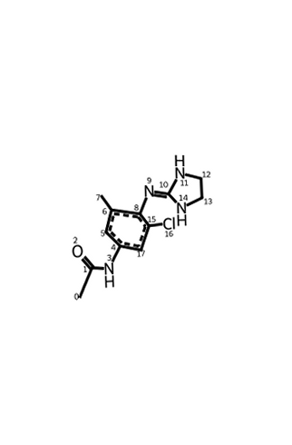 CC(=O)Nc1cc(C)c(N=C2NCCN2)c(Cl)c1